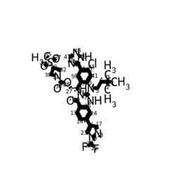 CC(C)(C)CCNC(=N)N(C(=O)c1ccc(-c2cnn(C(F)F)c2)cc1)[C@H](COC(=O)N1CC(S(C)(=O)=O)C1)c1ccc(Cl)c(-c2ncn[nH]2)c1